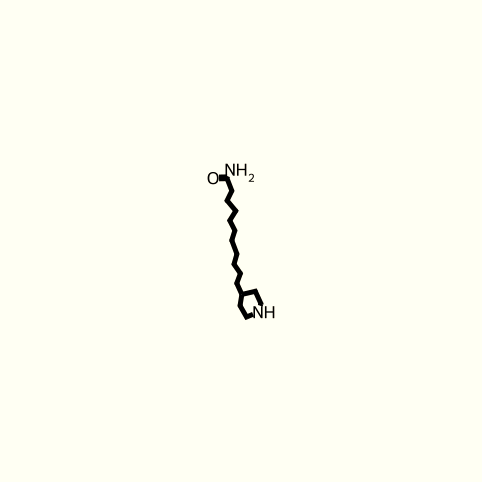 NC(=O)CCCCCCCCCCC1CCNCC1